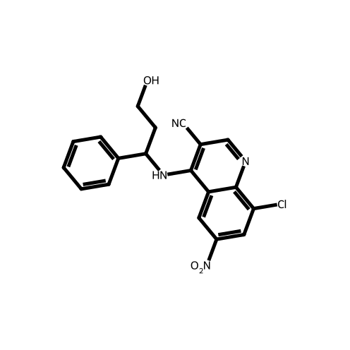 N#Cc1cnc2c(Cl)cc([N+](=O)[O-])cc2c1NC(CCO)c1ccccc1